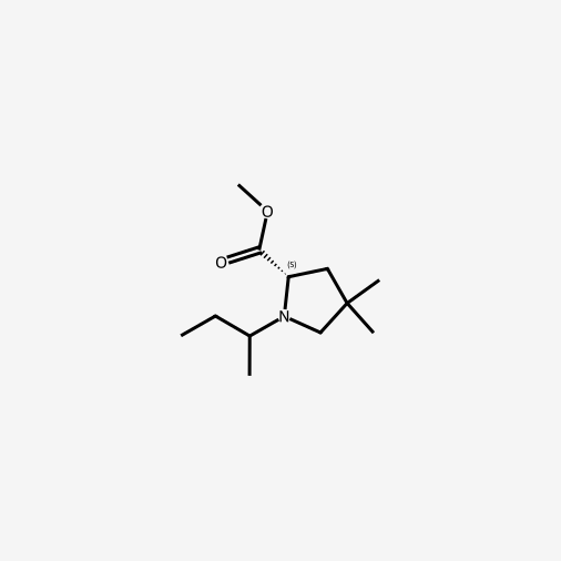 CCC(C)N1CC(C)(C)C[C@H]1C(=O)OC